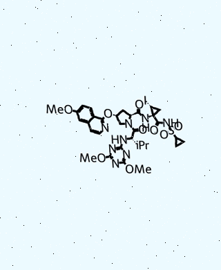 COc1ccc2c(O[C@@H]3C[C@@H](C(=O)N[C@]4(C(=O)NS(=O)(=O)C5CC5)C[C@H]4I)N(C(=O)[C@@H](Nc4nc(OC)nc(OC)n4)C(C)C)C3)nccc2c1